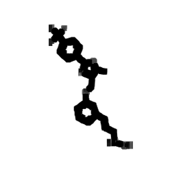 Cc1oc(-c2ccc(C(F)(F)F)cc2)nc1COc1cccc(C=CCNO)c1